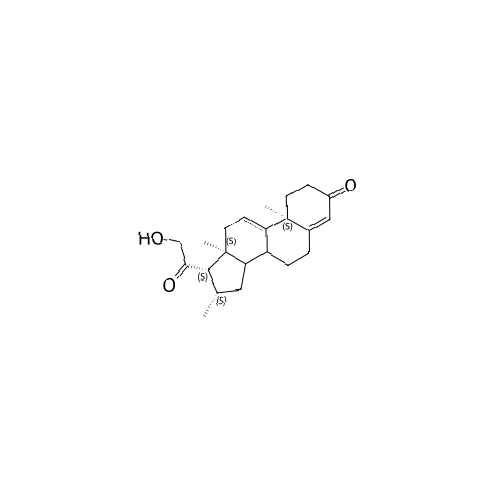 C[C@H]1CC2C3CCC4=CC(=O)CC[C@]4(C)C3=CC[C@]2(C)[C@H]1C(=O)CO